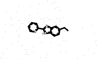 CCc1ccc2[nH]c(-c3ccccn3)nc2c1